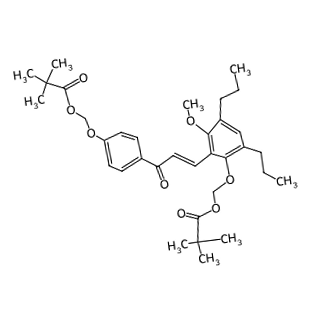 CCCc1cc(CCC)c(OCOC(=O)C(C)(C)C)c(C=CC(=O)c2ccc(OCOC(=O)C(C)(C)C)cc2)c1OC